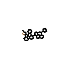 Cc1cc2c(s1)-c1ccccc1C21c2ccccc2-c2c(-c3ccc4cc(-c5ccccc5)c5cccc6ccc3c4c65)cccc21